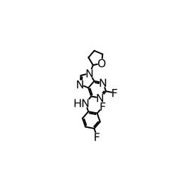 Fc1ccc(Nc2nc(F)nc3c2ncn3C2CCCO2)c(F)c1